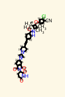 CC1(C)[C@H](NC(=O)c2ccc(C#CC3CCN(C4CN(c5ccc6c(c5)C(=O)N(C5CCC(=O)NC5=O)C6=O)C4)CC3)cc2)C(C)(C)[C@H]1Oc1ccc(C#N)c(Cl)c1